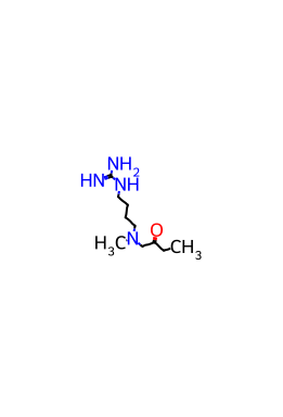 CCC(=O)CN(C)CCCCNC(=N)N